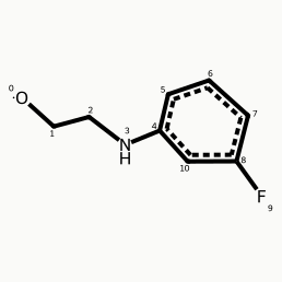 [O]CCNc1cccc(F)c1